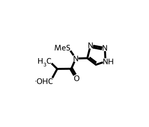 CSN(C(=O)C(C)[C]=O)c1c[nH]nn1